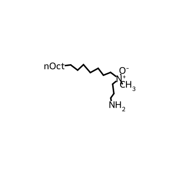 CCCCCCCCCCCCCCC[N+](C)([O-])CCCN